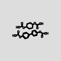 O=C(O)OC1CCC(OC(=O)O)CC1.O=C(O)Oc1ccc(-c2ccc(OC(=O)O)cc2)cc1